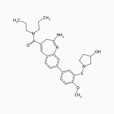 CCCN(CCC)C(=O)C1=Cc2ccc(-c3ccc(OC)c(SN4CCC(O)C4)c3)cc2N=C(N)C1